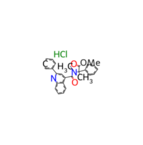 COC(=O)C(C)(c1ccccc1)N(C)C(=O)c1cc(-c2ccccc2)nc2ccccc12.Cl